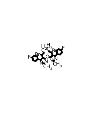 C=CC(Br)c1c(Oc2nc(C)nc(-c3ccc(F)cc3)c2C(Br)C=C)nc(C)nc1-c1ccc(F)cc1